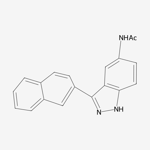 CC(=O)Nc1ccc2[nH]nc(-c3ccc4ccccc4c3)c2c1